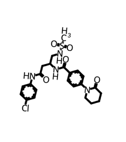 CS(=O)(=O)NCC(CC(=O)Nc1ccc(Cl)cc1)NC(=O)c1ccc(N2CCCCC2=O)cc1